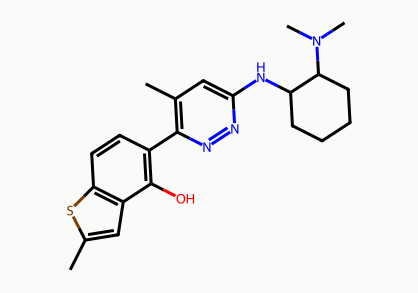 Cc1cc2c(O)c(-c3nnc(NC4CCCCC4N(C)C)cc3C)ccc2s1